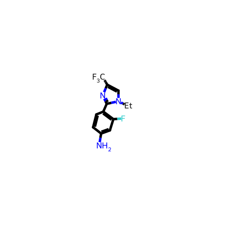 CCn1cc(C(F)(F)F)nc1-c1ccc(N)cc1F